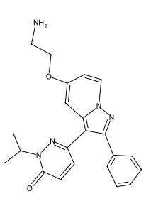 CC(C)n1nc(-c2c(-c3ccccc3)nn3ccc(OCCN)cc23)ccc1=O